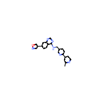 Cc1cc(-c2ccc(CNc3ncnc4cc(-c5cnoc5)ccc34)cn2)ccn1